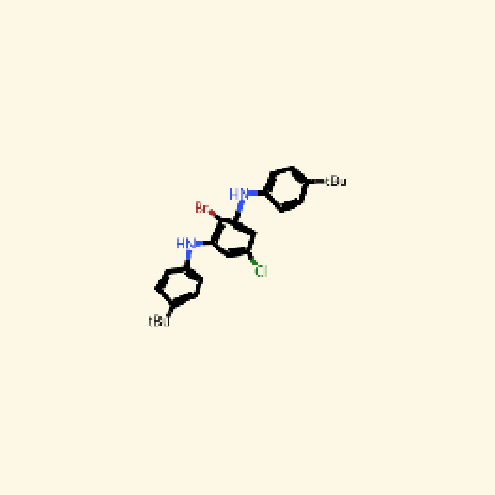 CC(C)(C)c1ccc(Nc2cc(Cl)cc(Nc3ccc(C(C)(C)C)cc3)c2Br)cc1